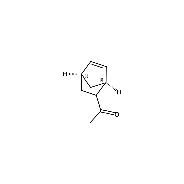 CC(=O)C1C[C@H]2C=C[C@@H]1C2